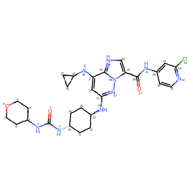 O=C(NC1CCOCC1)N[C@H]1CC[C@H](Nc2cc(NC3CC3)c3ncc(C(=O)Nc4ccnc(Cl)c4)n3n2)CC1